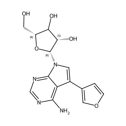 Nc1ncnc2c1c(-c1ccoc1)cn2[C@@H]1O[C@H](CO)C(O)[C@@H]1O